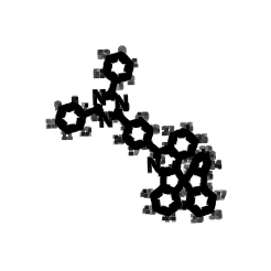 c1ccc(-c2nc(-c3ccccc3)nc(-c3ccc(-c4nc5c(c6ccccc46)C4(c6ccccc6-c6ccccc64)c4ccccc4-5)cc3)n2)cc1